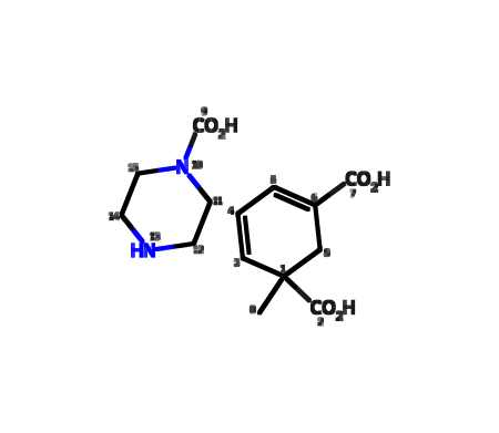 CC1(C(=O)O)C=CC=C(C(=O)O)C1.O=C(O)N1CCNCC1